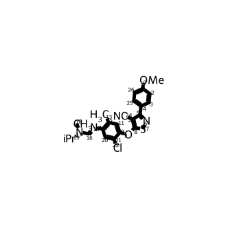 COc1ccc(-c2nsc(Oc3cc(C)c(N=CN(C)C(C)C)cc3Cl)c2C#N)cc1